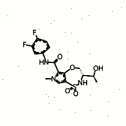 C[C@H](O)[C@H]1COc2c(cn(C)c2C(=O)Nc2ccc(F)c(F)c2)S(=O)(=O)N1